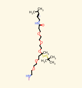 CC(C)/C=C/CNC(=O)CCOCCOCCOC(C)(CCOCCOCCNI)SSC(C)(C)C